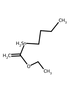 C=[C](OCC)[SnH2][CH2]CCC